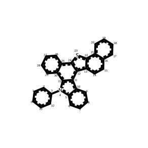 c1ccc(-n2c3ccccc3c3c4c5ccc6ccccc6c5sc4c4ccccc4c32)cc1